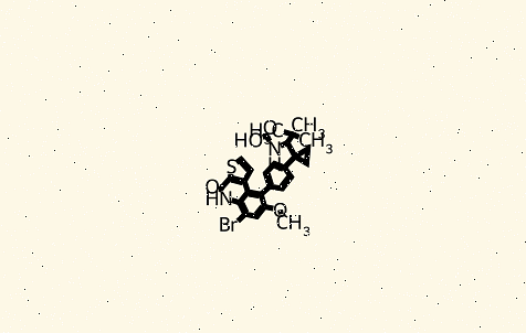 COc1cc(Br)c2[nH]c(=O)c3sccc3c2c1-c1ccc(C2(C(NC(=O)O)C(C)(C)C)CC2)cc1